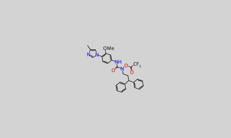 COc1cc(NC(=O)N(CCC(c2ccccc2)c2ccccc2)OC(=O)C(F)(F)F)ccc1-n1cnc(C)c1